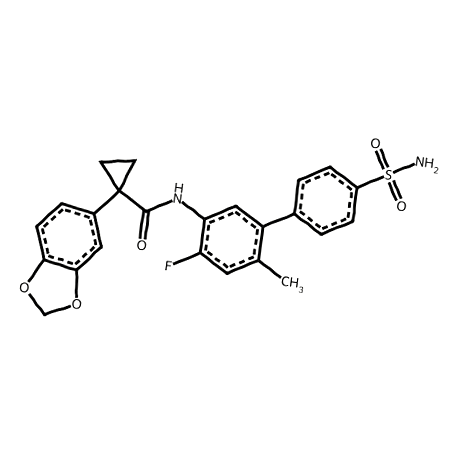 Cc1cc(F)c(NC(=O)C2(c3ccc4c(c3)OCO4)CC2)cc1-c1ccc(S(N)(=O)=O)cc1